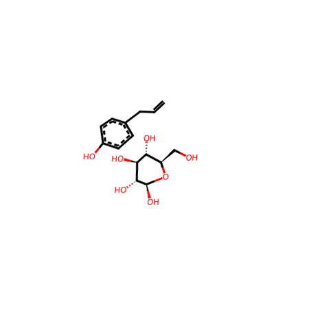 C=CCc1ccc(O)cc1.OC[C@H]1O[C@@H](O)[C@H](O)[C@@H](O)[C@@H]1O